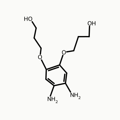 Nc1cc(OCCCO)c(OCCCO)cc1N